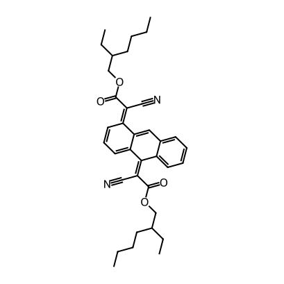 CCCCC(CC)COC(=O)/C(C#N)=c1\cccc2/c(=C(\C#N)C(=O)OCC(CC)CCCC)c3ccccc3cc12